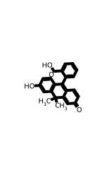 CC1(C)C2=CC(=O)C=CC2=C(c2ccccc2C(=O)O)c2ccc(O)cc21